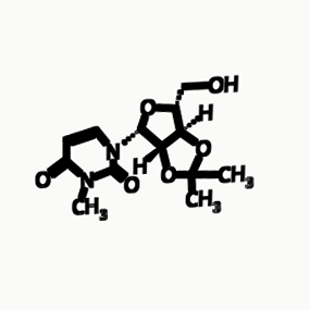 Cn1c(=O)ccn([C@@H]2O[C@H](CO)[C@H]3OC(C)(C)O[C@@H]32)c1=O